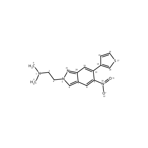 CN(C)CCn1cc2cc([N+](=O)[O-])c(-c3ccsc3)cc2n1